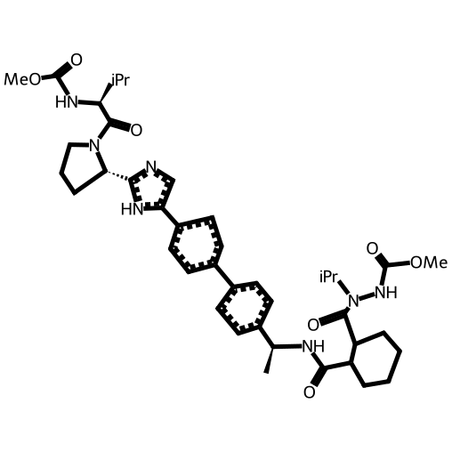 COC(=O)N[C@H](C(=O)N1CCC[C@H]1c1ncc(-c2ccc(-c3ccc([C@H](C)NC(=O)C4CCCCC4C(=O)N(NC(=O)OC)C(C)C)cc3)cc2)[nH]1)C(C)C